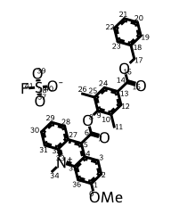 COc1ccc2c(C(=O)Oc3c(C)cc(C(=O)OCc4ccccc4)cc3C)c3ccccc3[n+](C)c2c1.O=S(=O)([O-])F